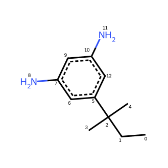 CCC(C)(C)c1cc(N)cc(N)c1